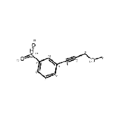 COCC#Cc1cccc([SH](=O)=O)c1